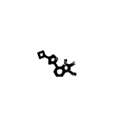 CC(C)n1c(=O)[nH]c2c(-c3nc(C4CCC4)cs3)cccc21